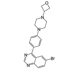 Brc1ccc2ncnc(-c3ccc(N4CCN(C5COC5)CC4)cc3)c2c1